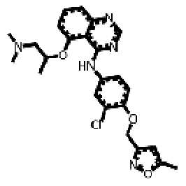 Cc1cc(COc2ccc(Nc3ncnc4cccc(OC(C)CN(C)C)c34)cc2Cl)no1